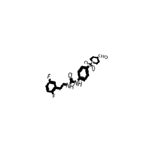 O=CC1CCN(S(=O)(=O)c2ccc(NC(=O)NCCc3cc(F)ccc3F)cc2)CC1